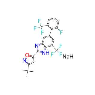 CC(C)(C)c1cc(-c2nc3cc(-c4c(F)cccc4C(F)(F)F)cc(C(F)(F)F)c3[nH]2)on1.[NaH]